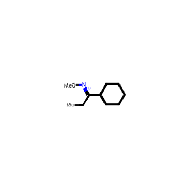 CO/N=C(\CC(C)(C)C)C1CCCCC1